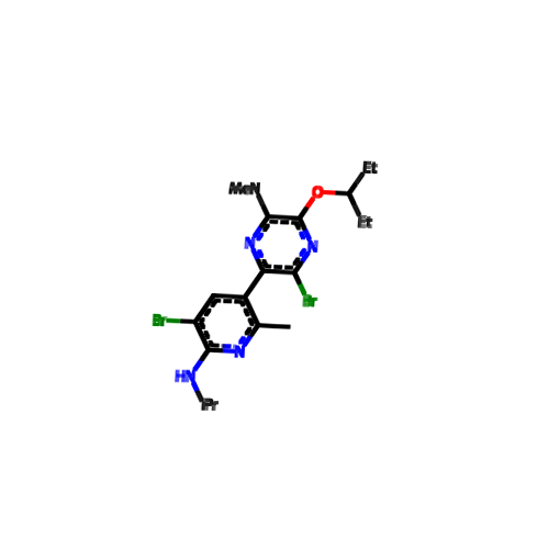 CCC(CC)Oc1nc(Br)c(-c2cc(Br)c(NC(C)C)nc2C)nc1NC